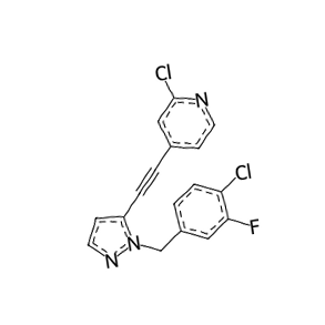 Fc1cc(Cn2nccc2C#Cc2ccnc(Cl)c2)ccc1Cl